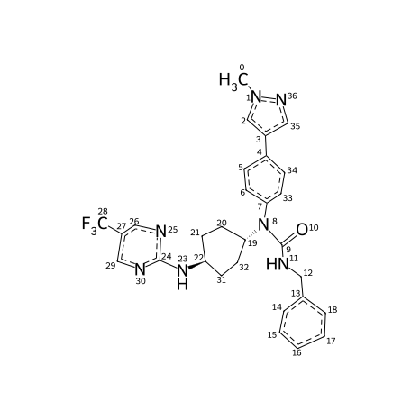 Cn1cc(-c2ccc(N(C(=O)NCc3ccccc3)[C@H]3CC[C@H](Nc4ncc(C(F)(F)F)cn4)CC3)cc2)cn1